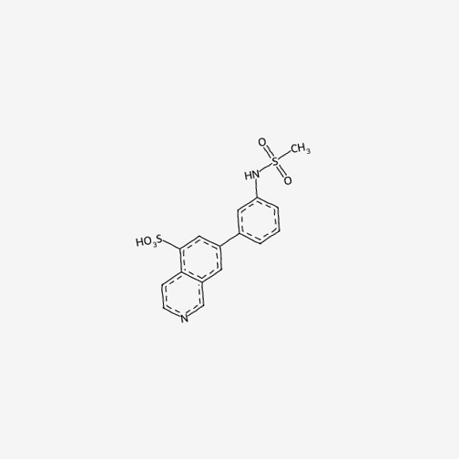 CS(=O)(=O)Nc1cccc(-c2cc(S(=O)(=O)O)c3ccncc3c2)c1